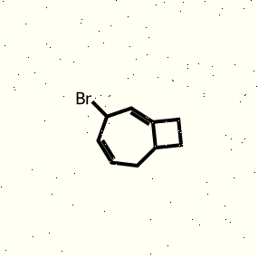 BrC1C=CCC2CCC2=C1